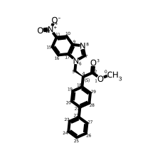 COC(=O)[C@H](Cn1cnc2cc([N+](=O)[O-])ccc21)c1ccc(-c2ccccc2)cc1